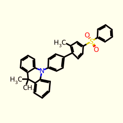 Cc1cc(S(=O)(=O)c2ccccc2)ccc1-c1ccc(N2c3ccccc3C(C)(C)c3ccccc32)cc1